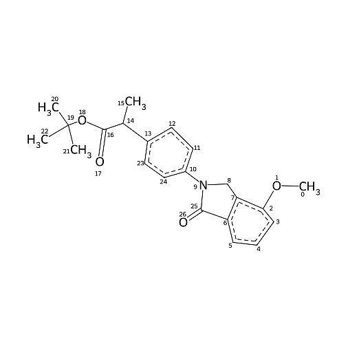 COc1cccc2c1CN(c1ccc(C(C)C(=O)OC(C)(C)C)cc1)C2=O